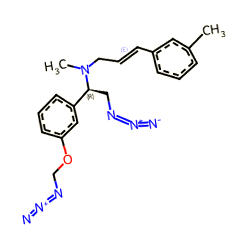 Cc1cccc(/C=C/CN(C)[C@@H](CN=[N+]=[N-])c2cccc(OCN=[N+]=[N-])c2)c1